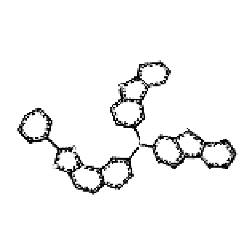 c1ccc(-c2nc3ccc4ccc(N(c5ccc6c(c5)sc5ccccc56)c5ccc6sc7ccccc7c6c5)cc4c3o2)cc1